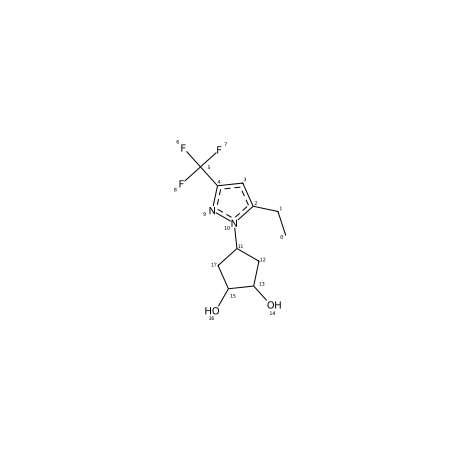 CCc1cc(C(F)(F)F)nn1C1CC(O)C(O)C1